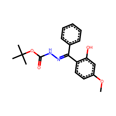 COc1ccc(C(=NNC(=O)OC(C)(C)C)c2ccccc2)c(O)c1